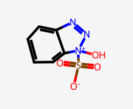 O=S(=O)([O-])[N+]1(O)N=Nc2ccccc21